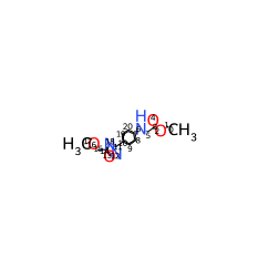 CCOC(=O)CNc1ccc(-c2noc(COC)n2)cc1